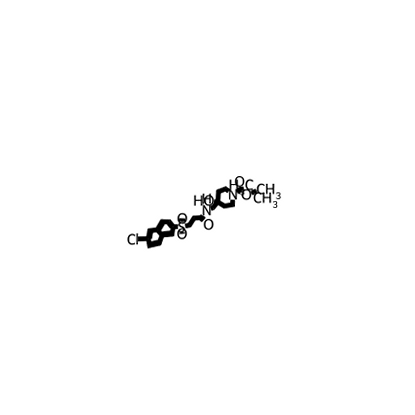 CC(C)(C)OC(=O)N1CCC(O)(CNC(=O)CCS(=O)(=O)c2ccc3cc(Cl)ccc3c2)CC1